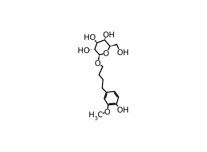 COc1cc(CCCCO[C@@H]2O[C@H](CO)[C@@H](O)[C@H](O)[C@H]2O)ccc1O